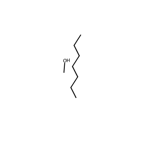 CCCCCCC.CO